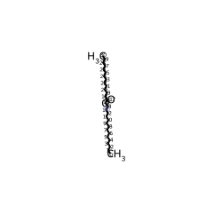 CCCCCCCCCCCCC/C=C/OC(=O)CCCCCCCCCCCCC